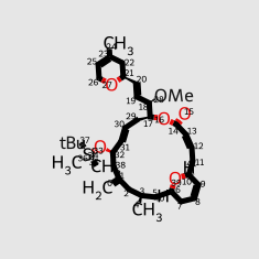 C=C1C[C@H](C)C[C@@H]2CC=C[C@@H](C/C=C\C(=O)O[C@H]([C@H](/C=C/[C@@H]3CC(C)=CCO3)OC)C/C=C/[C@H](O[Si](C)(C)C(C)(C)C)C1)O2